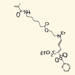 C=C(C)C(=O)NCCCCCC(=O)OCCN(C=CC=C(C(=O)OCC)S(=O)(=O)c1ccccc1)CC